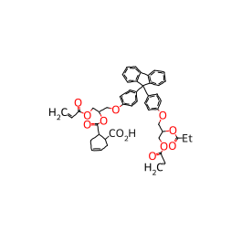 C=CC(=O)OCC(COc1ccc(C2(c3ccc(OCC(COC(=O)C=C)OC(=O)C4CC=CCC4C(=O)O)cc3)c3ccccc3-c3ccccc32)cc1)OC(=O)CC